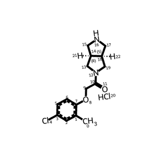 Cc1cc(Cl)ccc1OCC(=O)N1C[C@H]2CNC[C@H]2C1.Cl